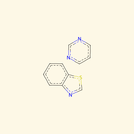 c1ccc2scnc2c1.c1cncnc1